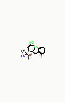 CC(C)(N)[C@@H]1CCCC[C@@]1(O)Cc1c(F)cccc1Cl.Cl